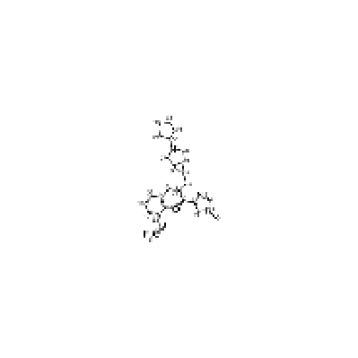 Cn1cnc(C(=O)N(Cc2cccc(OC(F)(F)F)c2)CC2C3CN(C4CCCC4)CC23)c1